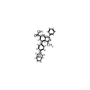 Cc1nn(-c2ccccc2)c2nc(C(=O)O)cc(-c3ccc(N4CC5CCC(C4)O5)cc3)c12